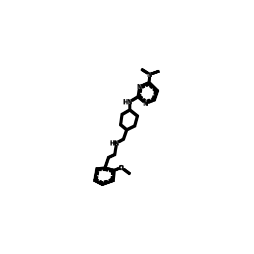 COc1ccccc1CCNCC1CCC(Nc2nccc(N(C)C)n2)CC1